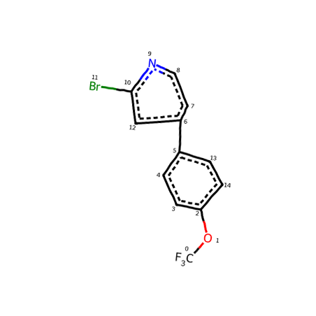 FC(F)(F)Oc1ccc(-c2ccnc(Br)c2)cc1